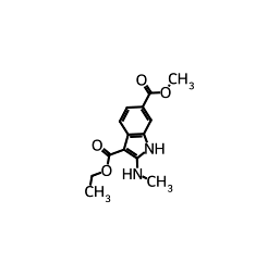 CCOC(=O)c1c(NC)[nH]c2cc(C(=O)OC)ccc12